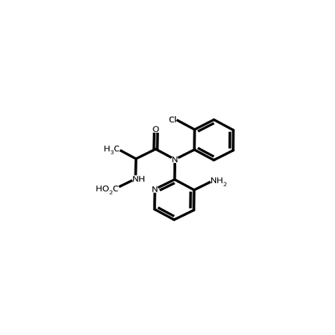 CC(NC(=O)O)C(=O)N(c1ccccc1Cl)c1ncccc1N